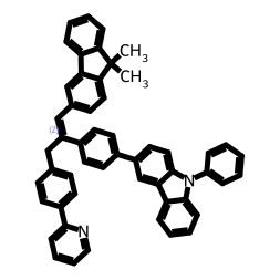 CC1(C)c2ccccc2-c2cc(/C=C(/Cc3ccc(-c4ccccn4)cc3)c3ccc(-c4ccc5c(c4)c4ccccc4n5-c4ccccc4)cc3)ccc21